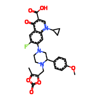 COc1ccc(C2CN(c3cc4c(cc3F)c(=O)c(C(=O)O)cn4C3CC3)CCN2Cc2oc(=O)oc2C)cc1